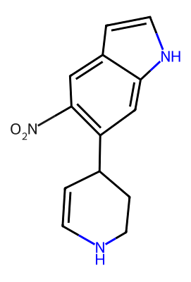 O=[N+]([O-])c1cc2cc[nH]c2cc1C1C=CNCC1